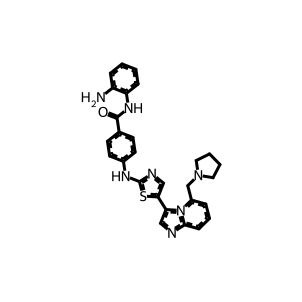 Nc1ccccc1NC(=O)c1ccc(Nc2ncc(-c3cnc4cccc(CN5CCCC5)n34)s2)cc1